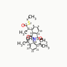 CCSC(=O)C(C)c1cccc2c1C(=O)N(c1c(C(C)C)cccc1C(C)C)C2=O